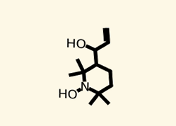 C=CC(O)C1CCC(C)(C)N(O)C1(C)C